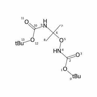 CC(C)(C)OC(=O)NOC(C)(C)NC(=O)OC(C)(C)C